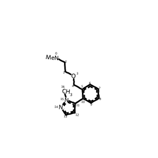 CNCCOCc1ccccc1-c1ccnn1C